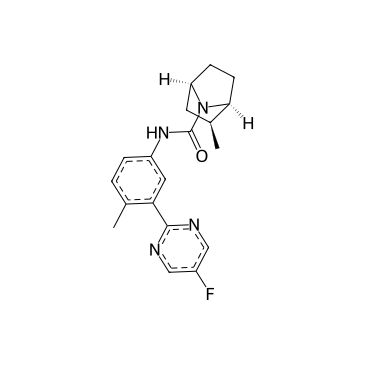 Cc1ccc(NC(=O)N2[C@@H]3CC[C@H]2[C@@H](C)C3)cc1-c1ncc(F)cn1